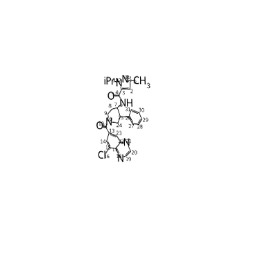 Cc1cc(C(=O)N[C@@H]2CCN(C(=O)c3cc(Cl)c4nccnc4c3)C[C@@H]2c2ccccc2)n(C(C)C)n1